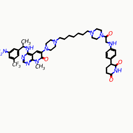 C[C@@H](Nc1ncnc2c1cc(N1CCN(CCCCCCCN3CCN(C(=O)CNc4ccc(C5CCC(=O)NC5=O)cc4)CC3)CC1)c(=O)n2C)c1cc(N)cc(C(F)(F)F)c1